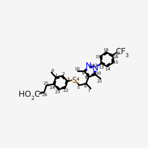 Cc1cc(SCC(C)c2c(C)nn(-c3ccc(C(F)(F)F)cc3)c2C)ccc1CCC(=O)O